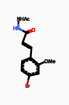 COc1cc(Br)ccc1/C=C/C(=O)NNC(C)=O